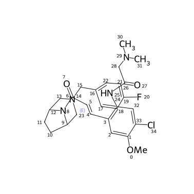 COc1cc(/C=C/C(=O)N2C3CCC2CN(Cc2ccc(F)cc2)C3)c(NC(=O)CN(C)C)cc1Cl